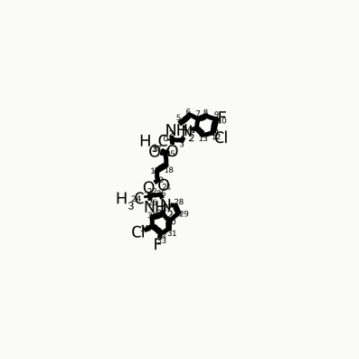 C[C@](N)(Cn1ccc2cc(F)c(Cl)cc21)OC(=O)/C=C/C(=O)O[C@@](C)(N)Cn1ccc2cc(F)c(Cl)cc21